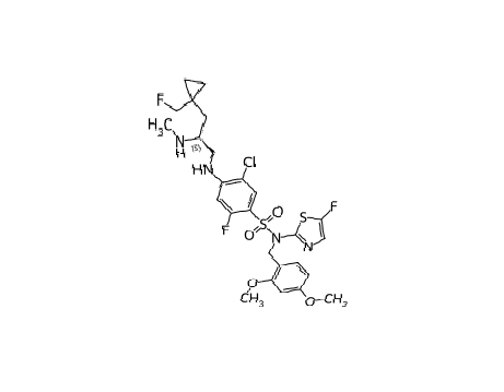 CN[C@H](CNc1cc(F)c(S(=O)(=O)N(Cc2ccc(OC)cc2OC)c2ncc(F)s2)cc1Cl)CC1(CF)CC1